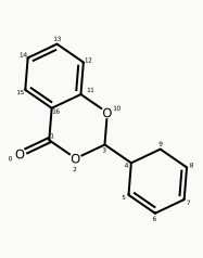 O=C1OC(C2C=CC=CC2)Oc2ccccc21